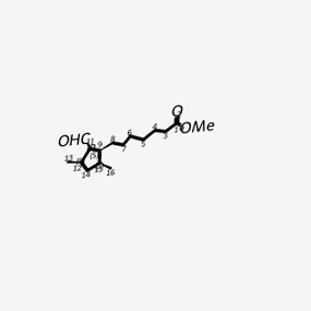 COC(=O)CCCCCC[C@@H]1[C@@H](C=O)[C@H](C)C[C@@H]1C